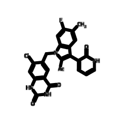 CC(=O)c1c(-c2ccc[nH]c2=O)c2cc(C)c(F)cc2n1Cc1cc2c(=O)[nH]c(=O)[nH]c2cc1Cl